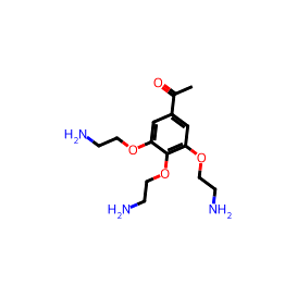 CC(=O)c1cc(OCCN)c(OCCN)c(OCCN)c1